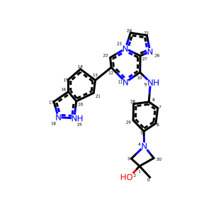 CC1(O)CN(c2ccc(Nc3nc(-c4ccc5cn[nH]c5c4)cn4ccnc34)cc2)C1